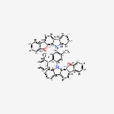 N#Cc1cc(-n2c3ccccc3c3ccc4c5ccccc5oc4c32)c(-c2ccccc2C(F)(F)F)cc1-n1c2ccccc2c2ccc3c4ccccc4oc3c21